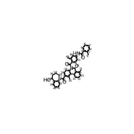 Cc1ccccc1C(=O)Nc1ccc(C(=O)N(C(=O)c2ccccc2C)c2ccc(C(=O)N3CCCC(O)c4ccccc43)c(C)c2)c(C)c1